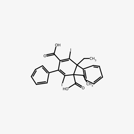 CCC1(C(=O)O)C(I)=C(c2ccccc2)C(C(=O)O)=C(I)C1(CC)c1ccccc1